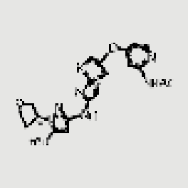 CC(=O)Nc1cc(Oc2cnc3nc(Nc4cc(C(C)(C)C)n([C@H]5CCOC5)n4)cn3c2)ccn1